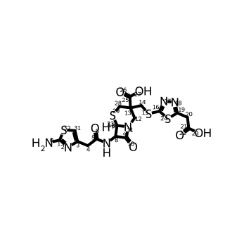 Nc1nc(CC(=O)NC2C(=O)N3CC(CSc4nnc(CC(=O)O)s4)(C(=O)O)CS[C@H]23)cs1